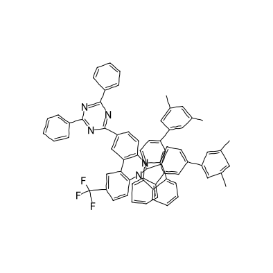 Cc1cc(C)cc(-c2ccc3c(c2)c2ccccc2n3-c2ccc(-c3nc(-c4ccccc4)nc(-c4ccccc4)n3)cc2-c2cc(C(F)(F)F)ccc2-n2c3ccccc3c3cc(-c4cc(C)cc(C)c4)ccc32)c1